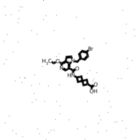 CCOc1ncc(C(=O)NC2CC3(C2)CC(C(=O)O)C3)c2c1ccn2Cc1ccc(Br)cc1